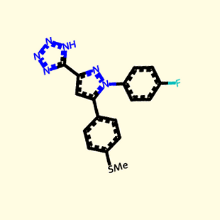 CSc1ccc(-c2cc(-c3nnn[nH]3)nn2-c2ccc(F)cc2)cc1